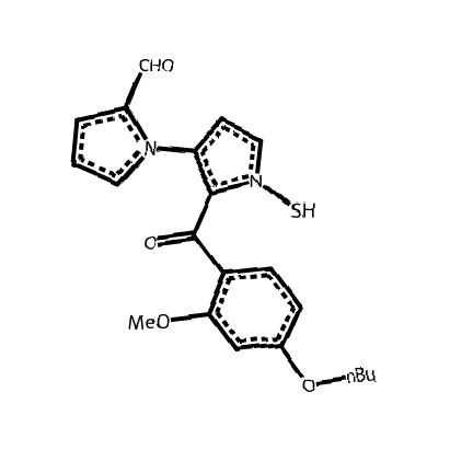 CCCCOc1ccc(C(=O)c2c(-n3cccc3C=O)ccn2S)c(OC)c1